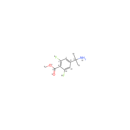 COC(=O)c1c(F)cc(C(C)(C)N)cc1F